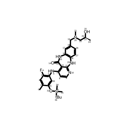 Cc1cc(F)c(Nc2ccnc3c2C(=O)Nc2cc(CN(C)C[C@H](C)O)ccc2N3)cc1O[Si](C)(C)C(C)(C)C